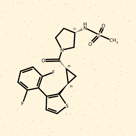 CS(=O)(=O)N[C@H]1CCN(C(=O)[C@@H]2C[C@H]2c2sccc2-c2c(F)cccc2F)C1